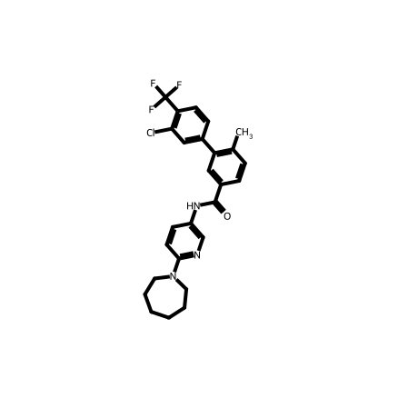 Cc1ccc(C(=O)Nc2ccc(N3CCCCCC3)nc2)cc1-c1ccc(C(F)(F)F)c(Cl)c1